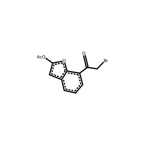 CC(=O)Oc1cc2cccc(C(=O)CBr)c2o1